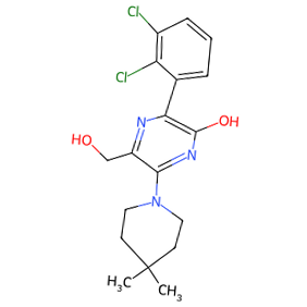 CC1(C)CCN(c2nc(O)c(-c3cccc(Cl)c3Cl)nc2CO)CC1